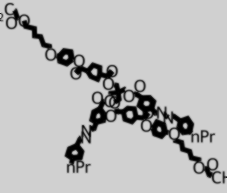 C=CC(=O)OCCCCCCOc1ccc(OC(=O)C2CCC(C(=O)OCC(COC(=O)c3ccc(/C=N/N=C/c4ccc(CCC)cc4)cc3)(COC(=O)c3ccc(/C=N/N=C/c4ccc(CCC)cc4)cc3)COC(=O)C3CCC(C(=O)Oc4ccc(OCCCCCCOC(=O)C=C)cc4)CC3)CC2)cc1